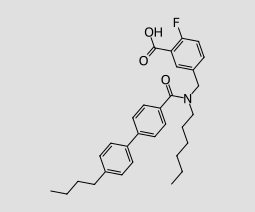 CCCCCCN(Cc1ccc(F)c(C(=O)O)c1)C(=O)c1ccc(-c2ccc(CCCC)cc2)cc1